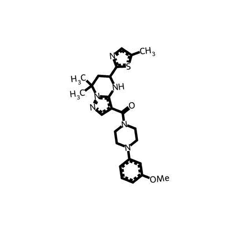 COc1cccc(N2CCN(C(=O)c3cnn4c3NC(c3ncc(C)s3)CC4(C)C)CC2)c1